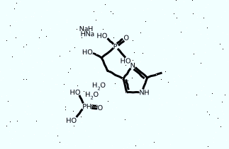 Cc1nc(CC(O)P(=O)(O)O)c[nH]1.O.O.O=[PH](O)O.[NaH].[NaH]